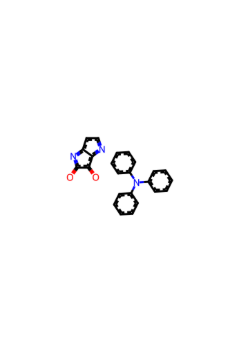 O=c1nc2ccnc-2c1=O.c1ccc(N(c2ccccc2)c2ccccc2)cc1